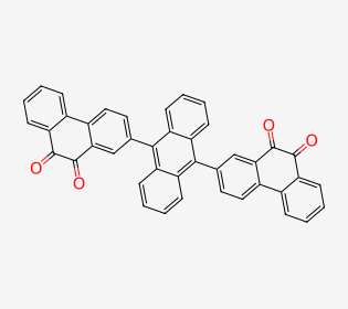 O=C1C(=O)c2cc(-c3c4ccccc4c(-c4ccc5c(c4)C(=O)C(=O)c4ccccc4-5)c4ccccc34)ccc2-c2ccccc21